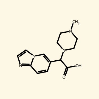 CN1CCN(C(C(=O)O)c2ccc3nccn3c2)CC1